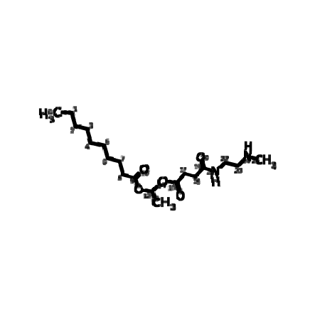 CCCCCCCCCC(=O)OC(C)OC(=O)CCC(=O)NCCNC